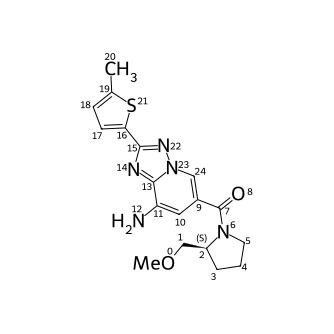 COC[C@@H]1CCCN1C(=O)c1cc(N)c2nc(-c3ccc(C)s3)nn2c1